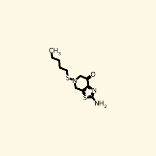 CCCCCSN1CC(=O)c2nc(N)sc2C1